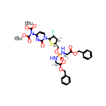 C[C@H]1[C@H](F)[C@H](n2ccc(N(C(=O)OC(C)(C)C)C(=O)OC(C)(C)C)nc2=O)S[C@@H]1COP(=O)(N[C@@H](C)C(=O)OCc1ccccc1)N[C@@H](C)C(=O)OCc1ccccc1